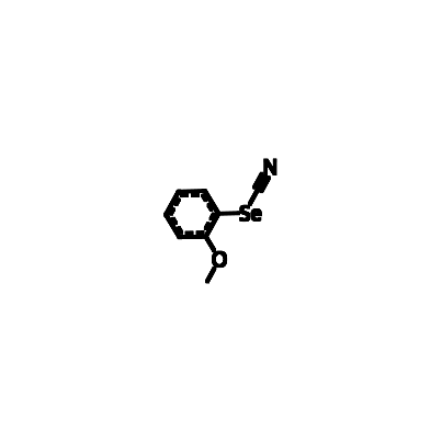 COc1ccccc1[Se]C#N